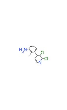 Cc1c(N)cccc1-c1ccnc(Cl)c1Cl